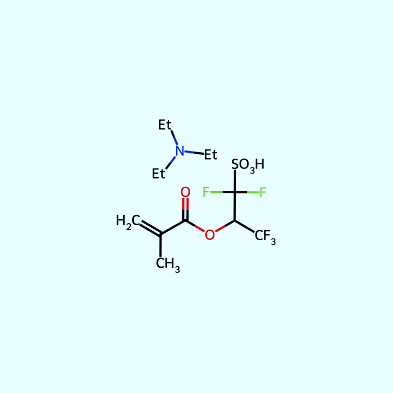 C=C(C)C(=O)OC(C(F)(F)F)C(F)(F)S(=O)(=O)O.CCN(CC)CC